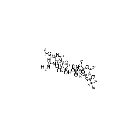 CCOc1nc(N)nc2c1ncn2[C@@H]1O[C@H](COP(=O)(N[C@@H](C)C(=O)OC(C)C)OCCSC(=O)C(C)(C)C)[C@@H](O)C1(Cl)Cl